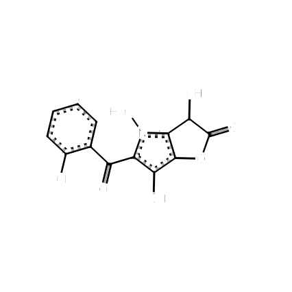 Cc1ccccc1C(=O)c1c(C)c2c(n1C)C(C)C(=O)O2